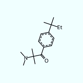 CCC(C)(C)c1ccc(C(=O)C(C)(C)N(C)C)cc1